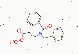 O=C(CCN(Cc1ccccc1)C(=O)c1ccccc1)OO